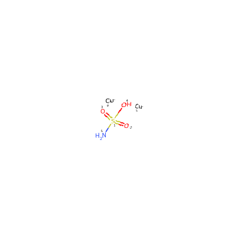 NS(=O)(=O)O.[Cu].[Cu]